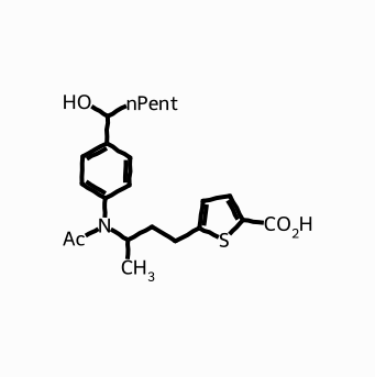 CCCCCC(O)c1ccc(N(C(C)=O)C(C)CCc2ccc(C(=O)O)s2)cc1